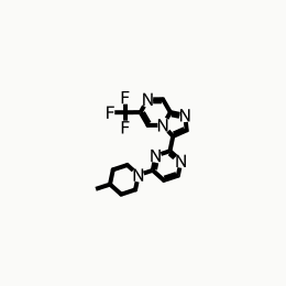 CC1CCN(c2ccnc(-c3cnc4cnc(C(F)(F)F)cn34)n2)CC1